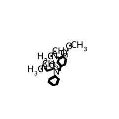 COCOc1ccc(CN(C(=O)CN(C)C)c2ccccc2)cc1N(C)C